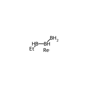 BBBCC.[Re]